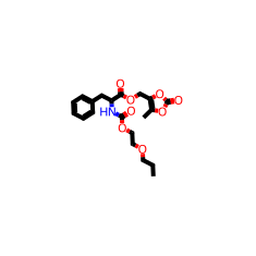 CCCOCCOC(=O)NC(Cc1ccccc1)C(=O)OCc1oc(=O)oc1C